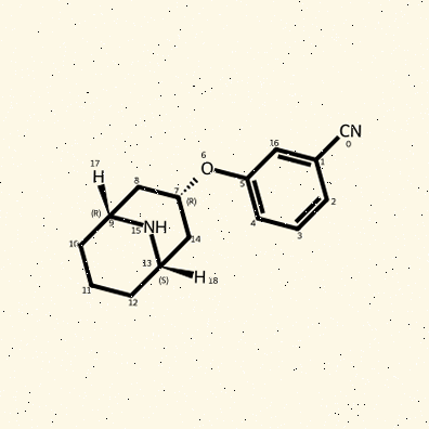 N#Cc1cccc(O[C@H]2C[C@H]3CCC[C@@H](C2)N3)c1